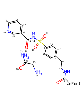 CCCCCC(=O)NCCc1ccc(S(=O)(=O)NC(=O)c2cccnc2)cc1.NCC(N)=O